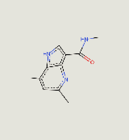 CNC(=O)c1c[nH]c2c(C)cc(C)nc12